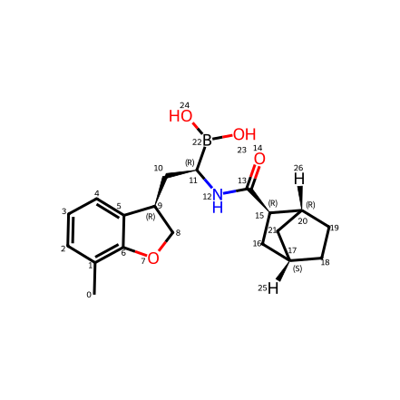 Cc1cccc2c1OC[C@@H]2C[C@H](NC(=O)[C@@H]1C[C@H]2CC[C@@H]1C2)B(O)O